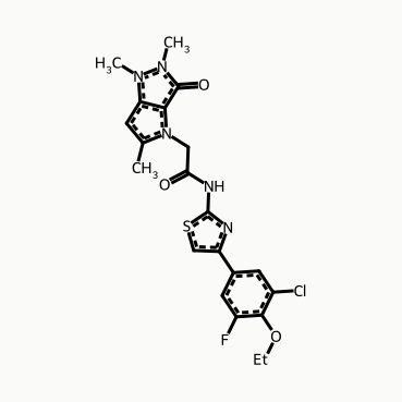 CCOc1c(F)cc(-c2csc(NC(=O)Cn3c(C)cc4c3c(=O)n(C)n4C)n2)cc1Cl